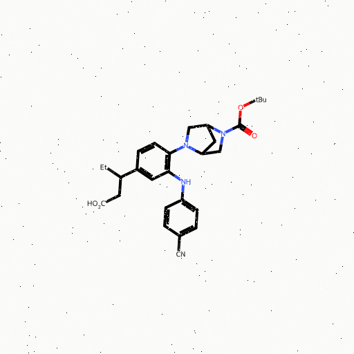 CCC(CC(=O)O)c1ccc(N2CC3CC2CN3C(=O)OC(C)(C)C)c(Nc2ccc(C#N)cc2)c1